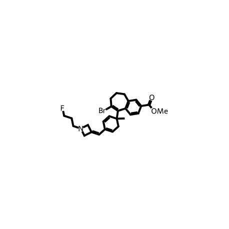 COC(=O)c1ccc2c(c1)CCCC(Br)=C2C1(C)C=CC(C=C2CN(CCCF)C2)=CC1